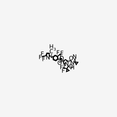 Cc1cc(C(F)(F)F)nn1-c1ccc(S(=O)(=O)[C@@H]2C[C@@H](C(=O)NC3(C#N)CC3)N(C(=O)C3(C(F)(F)F)CC3)C2)c(C(F)(F)F)c1